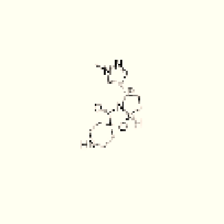 Cn1cc([C@@H]2CC[C@H]3OC4(CCNCC4)C(=O)N32)cn1